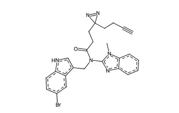 C#CCCC1(CCC(=O)N(Cc2c[nH]c3ccc(Br)cc23)c2nc3ccccc3n2C)N=N1